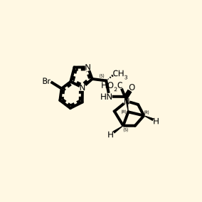 C[C@H](NC(=O)[C@@H]1[C@@H]2C[C@H]1CN(C(=O)O)C2)c1ncc2c(Br)cccn12